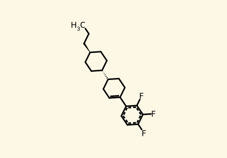 CCC[C@H]1CC[C@H](C2CC=C(c3ccc(F)c(F)c3F)CC2)CC1